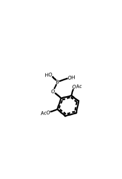 CC(=O)Oc1cccc(OC(C)=O)c1OB(O)O